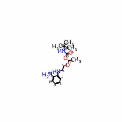 CC(OCCNc1ccccc1N)OC(=O)NC(C)(C)C